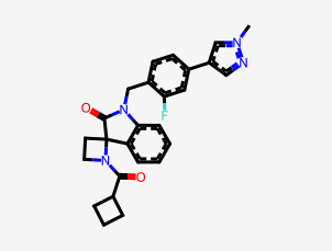 Cn1cc(-c2ccc(CN3C(=O)C4(CCN4C(=O)C4CCC4)c4ccccc43)c(F)c2)cn1